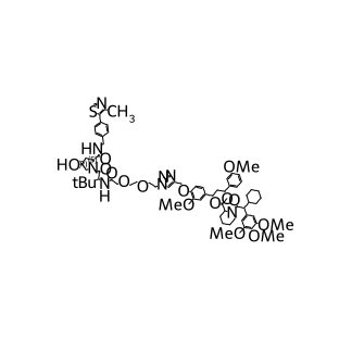 COc1cccc(C(CCc2ccc(OCc3cn(CCOCCOCC(=O)NC(C(=O)N4C[C@H](O)C[C@H]4C(=O)NCc4ccc(-c5scnc5C)cc4)C(C)(C)C)nn3)c(OC)c2)OC(=O)C2CCCCN2C(=O)C(c2cc(OC)c(OC)c(OC)c2)C2CCCCC2)c1